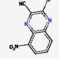 N#Cc1nc2c([N+](=O)[O-])cccc2nc1Br